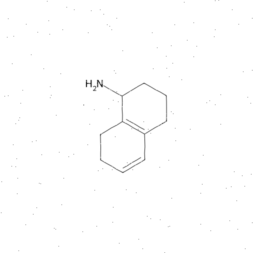 NC1CCCC2=C1CCC=C2